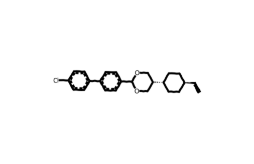 C=C[C@H]1CC[C@H](C2COC(c3ccc(-c4ccc(Cl)cc4)cc3)OC2)CC1